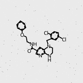 O=C(NCCOc1ccccc1)c1cnc2c(c1)N(Cc1cc(Cl)ccc1Cl)CCN2